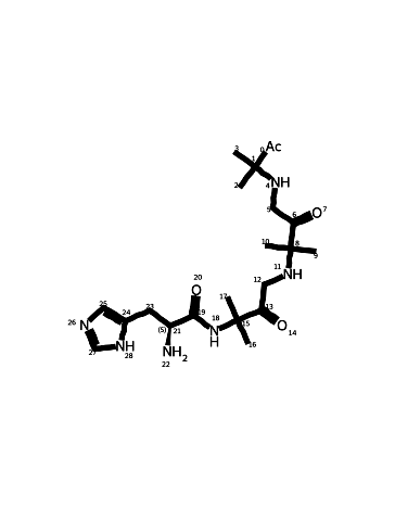 CC(=O)C(C)(C)NCC(=O)C(C)(C)NCC(=O)C(C)(C)NC(=O)[C@@H](N)Cc1cnc[nH]1